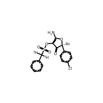 [2H]C([2H])(c1ccccc1)S(=O)(=O)OC1=C(N)O[C@@]([2H])(c2ccc(Cl)cc2)C1=O